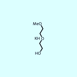 COCCOCCO.[KH]